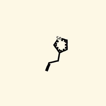 C=CCc1cc[se]c1